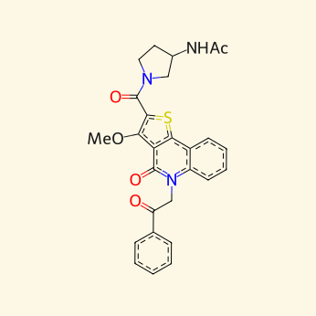 COc1c(C(=O)N2CCC(NC(C)=O)C2)sc2c1c(=O)n(CC(=O)c1ccccc1)c1ccccc21